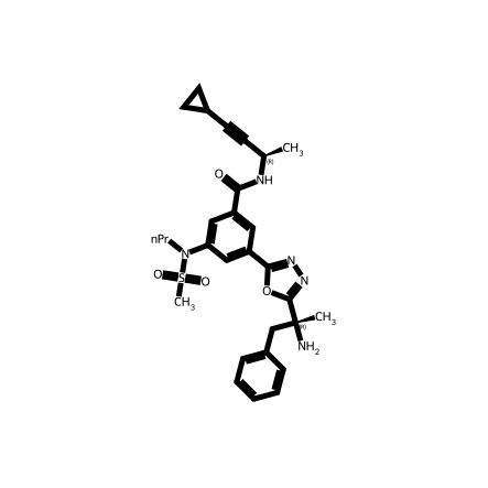 CCCN(c1cc(C(=O)N[C@H](C)C#CC2CC2)cc(-c2nnc([C@](C)(N)Cc3ccccc3)o2)c1)S(C)(=O)=O